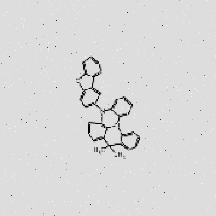 CC1(C)c2ccccc2N2c3ccccc3N(c3ccc4oc5ccccc5c4c3)c3cccc1c32